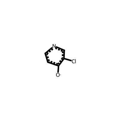 [O]c1ccncc1Cl